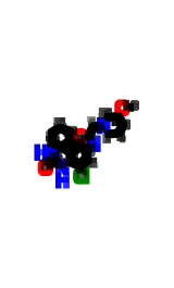 CO[C@H]1CCCN(Cc2nc3cc(Cl)c4c(c3o2)C2(CCCCC2)NC(=O)N4)C1